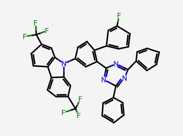 Fc1cccc(-c2ccc(-n3c4cc(C(F)(F)F)ccc4c4ccc(C(F)(F)F)cc43)cc2-c2nc(-c3ccccc3)nc(-c3ccccc3)n2)c1